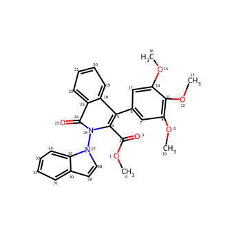 COC(=O)c1c(-c2cc(OC)c(OC)c(OC)c2)c2ccccc2c(=O)n1-n1ccc2ccccc21